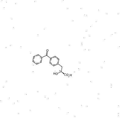 O=C(c1ccccc1)c1ccc(C[C@H](O)C(=O)O)cc1